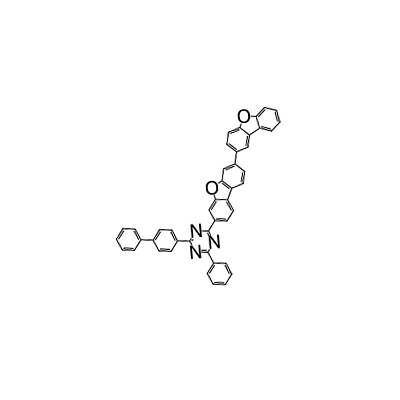 c1ccc(-c2ccc(-c3nc(-c4ccccc4)nc(-c4ccc5c(c4)oc4cc(-c6ccc7oc8ccccc8c7c6)ccc45)n3)cc2)cc1